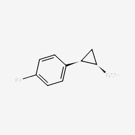 CN[C@@H]1C[C@@H]1c1ccc(C(C)C)cc1